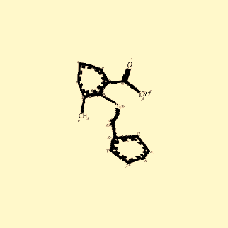 Cc1cccc(C(=O)O)c1N=Cc1ccccc1